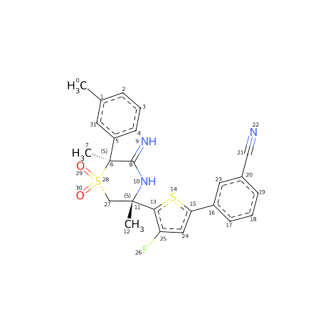 Cc1cccc([C@@]2(C)C(=N)N[C@](C)(c3sc(-c4cccc(C#N)c4)cc3F)CS2(=O)=O)c1